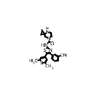 Cc1cc(-c2sc(NC(=O)N3CCNC4(CC4)C3)nc2-c2cccc(C#N)c2)cc(C)n1